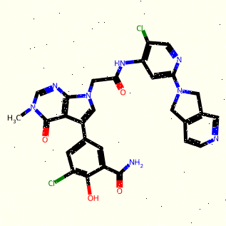 Cn1cnc2c(c(-c3cc(Cl)c(O)c(C(N)=O)c3)cn2CC(=O)Nc2cc(N3Cc4ccncc4C3)ncc2Cl)c1=O